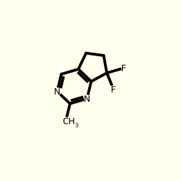 Cc1ncc2c(n1)C(F)(F)CC2